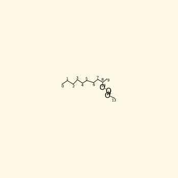 CCCCCCCCC(C)OOOC